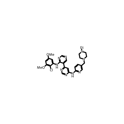 CCN1CCN(Cc2ccc(Nc3cc(-c4cncnc4Nc4cc(OC)cc(OC)c4Cl)ncn3)nc2)CC1